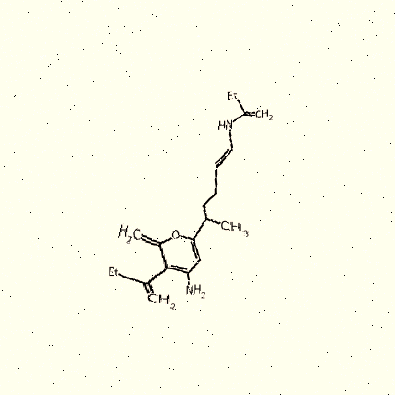 C=C(CC)N/C=C/CCC(C)C1=CC(N)=C(C(=C)CC)C(=C)O1